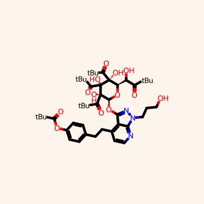 CC(C)(C)C(=O)Oc1ccc(CCc2ccnc3c2c(O[C@@H]2O[C@H](C(O)C(=O)C(C)(C)C)[C@](O)(C(=O)C(C)(C)C)[C@@](O)(C(=O)C(C)(C)C)[C@]2(O)C(=O)C(C)(C)C)nn3CCCO)cc1